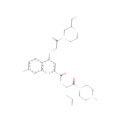 CCOC(=O)N1CCN(C(=O)[C@H](CCC(=O)O)NC(=O)c2cc(OCC(=O)N3CCOC(CO)C3)c3ccc(C)cc3n2)CC1